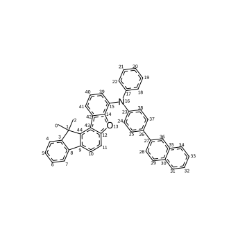 CC1(C)c2ccccc2-c2ccc3oc4c(N(c5ccccc5)c5ccc(-c6ccc7ccccc7c6)cc5)cccc4c3c21